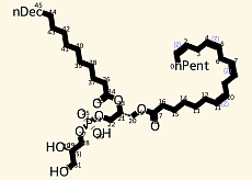 CCCCC/C=C\C/C=C\C/C=C\C/C=C\CCCCCC(=O)OC[C@H](COP(=O)(O)OC[C@@H](O)CO)OC(=O)CCCCCCCCCCCCCCCCCCC